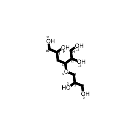 OCC(O)COC(CC(O)CO)C(O)CO